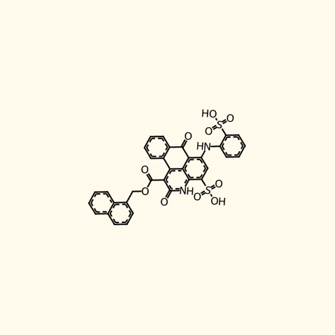 O=C(OCc1cccc2ccccc12)c1c2c3c(c(Nc4ccccc4S(=O)(=O)O)cc(S(=O)(=O)O)c3[nH]c1=O)C(=O)c1ccccc1-2